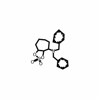 O=S1(=O)OC2CCCCC(N(Cc3ccccc3)Cc3ccccc3)C2O1